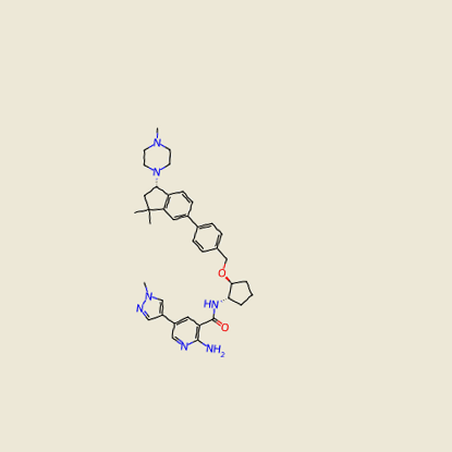 CN1CCN([C@H]2CC(C)(C)c3cc(-c4ccc(CO[C@H]5CCC[C@@H]5NC(=O)c5cc(-c6cnn(C)c6)cnc5N)cc4)ccc32)CC1